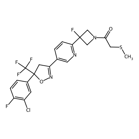 CSCC(=O)N1CC(F)(c2ccc(C3=NOC(c4ccc(F)c(Cl)c4)(C(F)(F)F)C3)cn2)C1